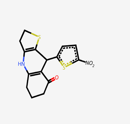 O=C1CCCC2=C1C(c1ccc([N+](=O)[O-])s1)C1=C(CCS1)N2